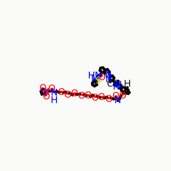 Cc1c(-c2ccc(N3CCc4cccc(C(=O)Nc5nc6ccccc6s5)c4C3)nc2C(=O)O)cnn1CC1(C)CC2(C)CC(C)(C)CC(OCCN(C)C(=O)CCOCCOCCOCCOCCOCCOCCOCCOCCNC(=O)CCN3C(=O)C=CC3=O)(C1)C2